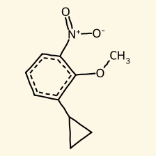 COc1c(C2CC2)cccc1[N+](=O)[O-]